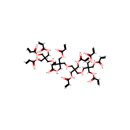 C=CC(=O)OCC(COCC(COCC(COC(=O)C=C)(COC(=O)C=C)COC(=O)C=C)(COC(=O)C=C)COC(=O)C=C)(COCC(COC(=O)C=C)(COC(=O)C=C)COC(=O)C=C)COC(=O)C=C